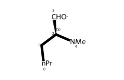 CCCC[C@@H]([C]=O)NC